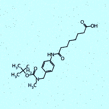 CN(Cc1ccc(NC(=O)CCCCCCC(=O)O)cc1)C(=O)OC(C)(C)C